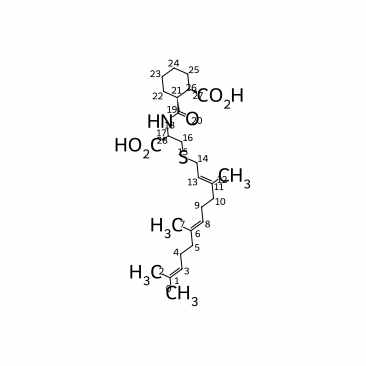 CC(C)=CCC/C(C)=C/CC/C(C)=C/CSC[C@H](NC(=O)[C@H]1CCCC[C@H]1C(=O)O)C(=O)O